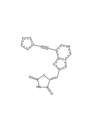 O=C1NC(=O)C(=Cc2cc3cncc(C#Cc4ccsc4)c3o2)S1